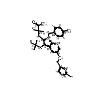 Cc1nc(COc2cnc3c(c2)c(SC(C)(C)C)c(CC(C)(C)C(=O)O)n3Cc2ccc(Cl)cc2)cs1